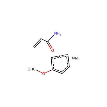 C=CC(N)=O.O=COc1ccccc1.[NaH]